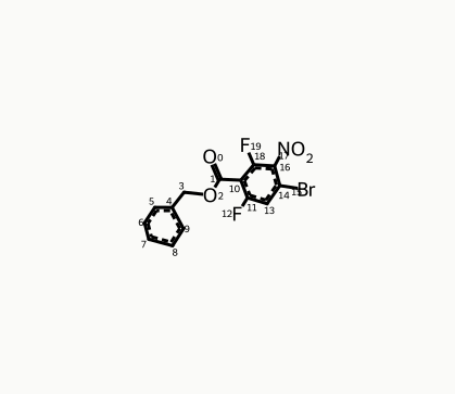 O=C(OCc1ccccc1)c1c(F)cc(Br)c([N+](=O)[O-])c1F